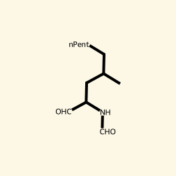 CCCCCCC(C)CC(C=O)NC=O